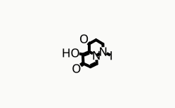 O=C1CCN(I)n2ccc(=O)c(O)c21